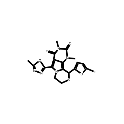 Cc1nnc(-c2c3c(=O)n(C)c(=O)n(C)c3c3n2CCSC3c2ccc(Cl)o2)o1